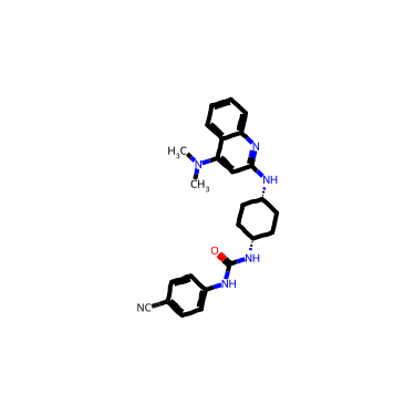 CN(C)c1cc(N[C@H]2CC[C@@H](NC(=O)Nc3ccc(C#N)cc3)CC2)nc2ccccc12